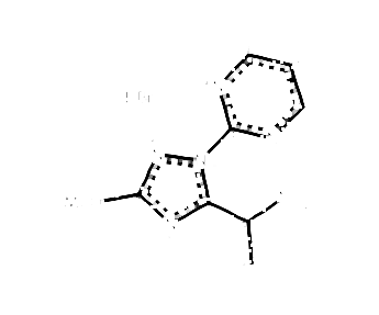 Br.COc1nc(C(C)N)n(-c2ncccn2)n1